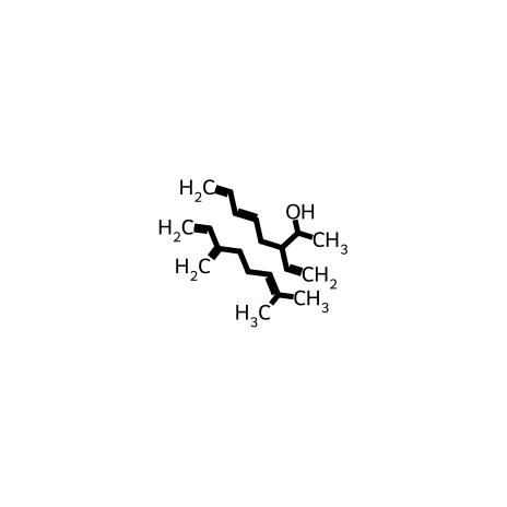 C=CC(=C)CCC=C(C)C.C=CC=CCC(C=C)C(C)O